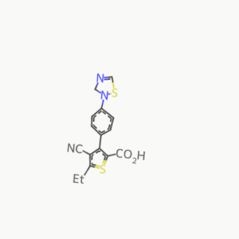 CCc1sc(C(=O)O)c(-c2ccc(N3CN=CS3)cc2)c1C#N